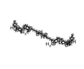 COc1cc2c(Oc3ccc(NC(=O)C4(C(=O)Nc5ccc(F)cc5)CC4)cc3F)ccnc2cc1OCCCCCNC(=O)CSSCC(=O)NCCCCCOc1cc2nccc(Oc3ccc(C4(C(=O)Nc5ccc(F)cc5)CC4)cc3F)c2cc1OC